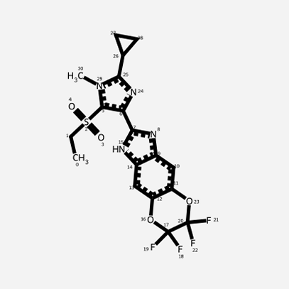 CCS(=O)(=O)c1c(-c2nc3cc4c(cc3[nH]2)OC(F)(F)C(F)(F)O4)nc(C2CC2)n1C